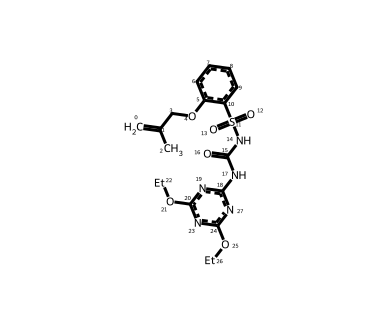 C=C(C)COc1ccccc1S(=O)(=O)NC(=O)Nc1nc(OCC)nc(OCC)n1